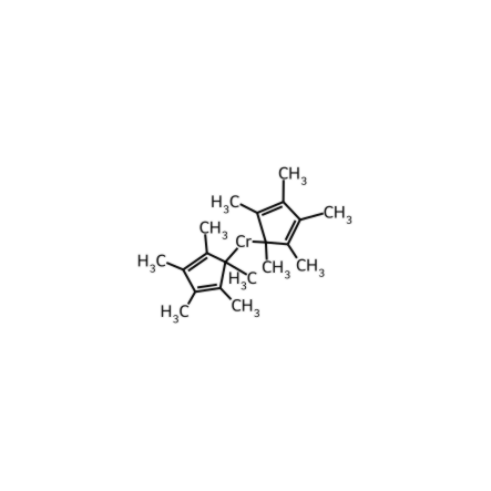 CC1=C(C)[C](C)([Cr][C]2(C)C(C)=C(C)C(C)=C2C)C(C)=C1C